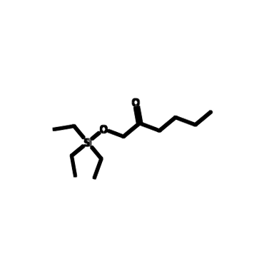 CCCCC(=O)CO[Si](CC)(CC)CC